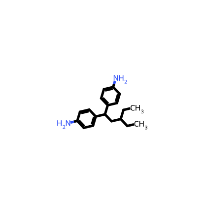 CCC(CC)CC(c1ccc(N)cc1)c1ccc(N)cc1